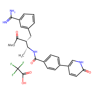 COC(=O)[C@H](Cc1cccc(C(=N)N)c1)[C@@H](C)NC(=O)c1ccc(-c2ccc(=O)[nH]c2)cc1.O=C(O)C(F)(F)F